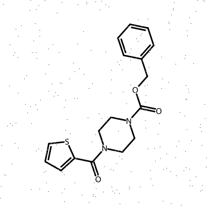 O=C(OCc1ccccc1)N1CCN(C(=O)c2cccs2)CC1